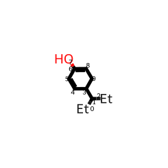 CCC(CC)C1C=CC(O)=CC1